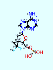 Nc1ncnc2c1ncn2C1C[C@@]2(CC2(F)F)C(COP(O)O)O1